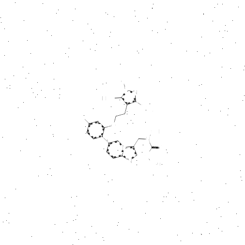 Cc1c(CCOc2cc(F)ccc2-c2ccc3ncc(CN(C)C(=O)OC(C)(C)C)n3c2)c(C(=O)O)nn1C